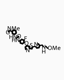 CNC(=O)c1cccc(NC(=O)Nc2ccc(Oc3ccnc4cc(-c5ccc(CNCCOC)cn5)sc34)c(F)c2)c1